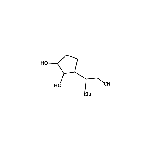 CC(C)(C)C(CC#N)C1CCC(O)C1O